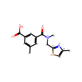 Cc1cc(C(=O)O)cc(C(=O)N(C)Cc2nc(C)cs2)c1